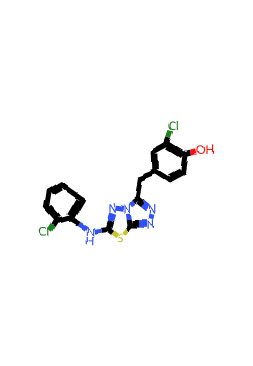 Oc1ccc(Cc2nnc3sc(Nc4ccccc4Cl)nn23)cc1Cl